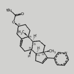 CC(C)(C)C(=O)O[C@H]1CC[C@@]2(C)C(=CC[C@@H]3[C@@H]2CC[C@]2(C)C(c4cccnc4)=CC[C@@H]32)C1